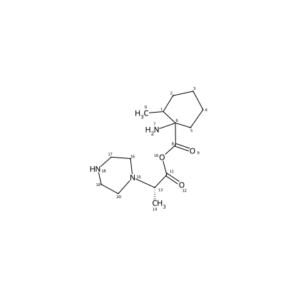 CC1CCCCC1(N)C(=O)OC(=O)[C@H](C)N1CCNCC1